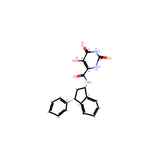 O=C(N[C@H]1C[C@@H](c2ccccc2)c2ccccc21)c1[nH]c(=O)[nH]c(=O)c1O